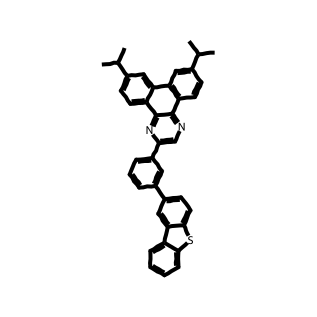 CC(C)c1ccc2c(c1)c1cc(C(C)C)ccc1c1nc(-c3cccc(-c4ccc5sc6ccccc6c5c4)c3)cnc21